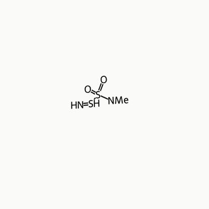 CNS(=O)(=O)[SH]=N